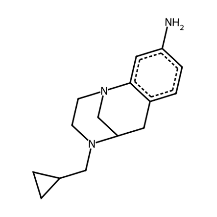 Nc1ccc2c(c1)N1CCN(CC3CC3)C(C2)C1